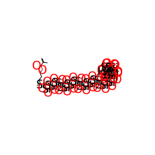 C=C(C)C(=O)OCCC[Si](C)(C)O[Si](=O)[Si](=O)[Si](=O)[Si](=O)[Si](=O)[Si](=O)[Si](=O)[Si](=O)[Si](=O)[Si](=O)[Si](=O)[Si](=O)[Si](=O)[Si](=O)[Si](=O)[Si](=O)[Si](=O)[Si](=O)[Si](=O)[Si](=O)[Si](=O)[Si](=O)[Si](=O)[Si](=O)[Si](=O)[Si](=O)[Si](=O)[Si](=O)[Si](=O)[Si](=O)[Si](=O)[Si](=O)[Si](=O)[SiH]=O